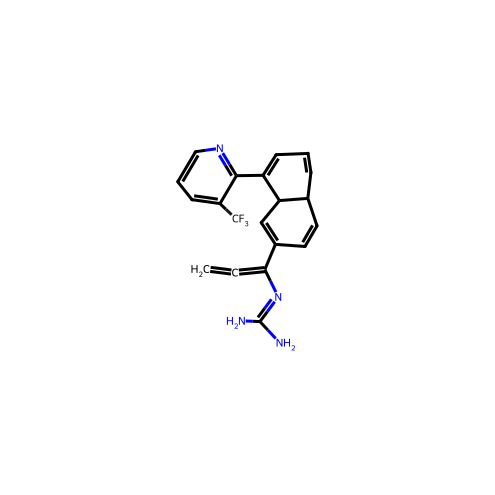 C=C=C(N=C(N)N)C1=CC2C(c3ncccc3C(F)(F)F)=CC=CC2C=C1